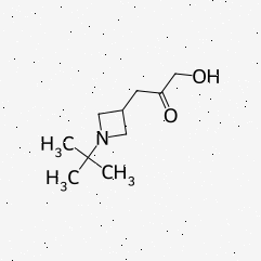 CC(C)(C)N1CC(CC(=O)CO)C1